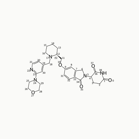 O=C1CCC(N2Cc3cc(OC[C@@H]4CCCCN4Cc4ccnc(N5CCOCC5)c4)ccc3C2=O)C(=O)N1